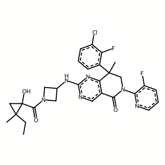 CCC1(C)CC1(O)C(=O)N1CC(Nc2ncc3c(n2)C(C)(c2cccc(Cl)c2F)CN(c2ncccc2F)C3=O)C1